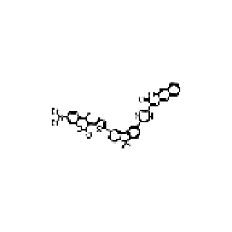 CCN(CC)c1ccc2c(C)c(-c3ccc(-c4ccc5c(c4)-c4cc(-c6cnc(-c7cc8cc9ccccc9cc8oc7=O)cn6)ccc4C5(C)C)s3)c(=O)oc2c1